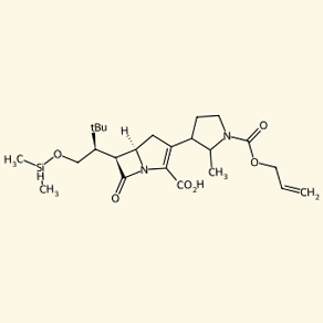 C=CCOC(=O)N1CCC(C2=C(C(=O)O)N3C(=O)[C@@H]([C@@H](CO[SiH](C)C)C(C)(C)C)[C@H]3C2)C1C